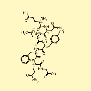 CC(C)C[C@H](NC(=O)[C@H](CC(N)=O)NC(=O)[C@@H](N)CCC(=O)O)C(=O)N[C@@H](Cc1ccc(O)cc1)C(=O)N[C@@H](Cc1ccccc1)C(=O)N[C@@H](CCC(N)=O)C(=O)NCC(=O)O